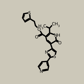 CC(C)c1[nH]c(=O)c(-c2csc(-c3ccncc3)n2)cc1C(=O)OCCc1cccs1